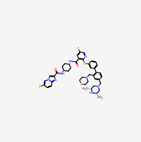 C[C@@H]1CN(Cc2ccc(-c3cccc(Oc4ncc(F)cc4C(=O)N[C@H]4CC[C@H](NC(=O)c5cn6cc(F)ccc6n5)CC4)c3)c(CN3CCSCC3)c2)C[C@H](C)N1